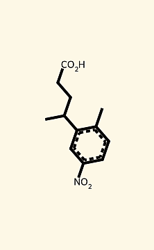 Cc1ccc([N+](=O)[O-])cc1C(C)CCC(=O)O